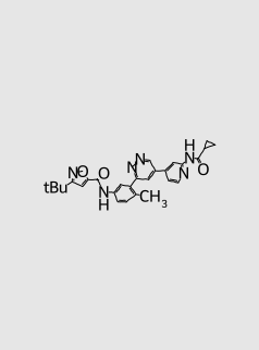 Cc1ccc(NC(=O)c2cc(C(C)(C)C)no2)cc1-c1cc(-c2ccnc(NC(=O)C3CC3)c2)cnn1